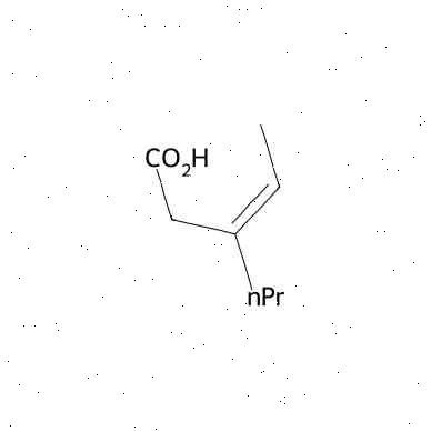 CC=C(CCC)CC(=O)O